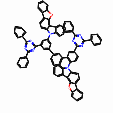 c1ccc(-c2nc(-c3ccccc3)nc(-c3cc(-c4cccc(-c5cc(-c6nc(-c7ccccc7)nc(-c7ccccc7)n6)ccc5-n5c6ccccc6c6c7oc8ccccc8c7ccc65)c4)cc(-n4c5ccccc5c5c6oc7ccccc7c6ccc54)c3)n2)cc1